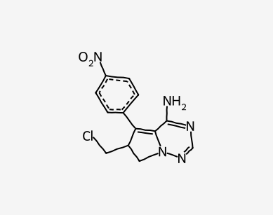 NC1=NC=NN2CC(CCl)C(c3ccc([N+](=O)[O-])cc3)=C12